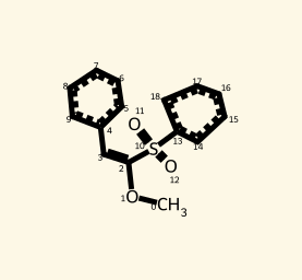 CO/C(=C/c1ccccc1)S(=O)(=O)c1ccccc1